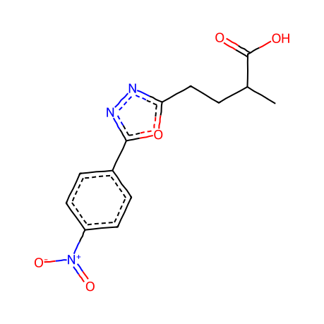 CC(CCc1nnc(-c2ccc([N+](=O)[O-])cc2)o1)C(=O)O